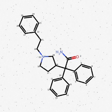 NC(=O)C(c1ccccc1)(c1ccccc1)C1CCN(CCc2ccccc2)C1